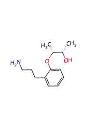 C[C@H](O)[C@@H](C)Oc1ccccc1CCCN